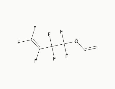 C=COC(F)(F)C(F)(F)C(F)=C(F)F